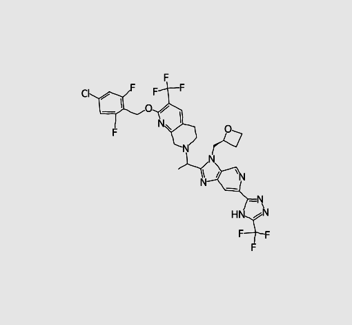 CC(c1nc2cc(-c3nnc(C(F)(F)F)[nH]3)ncc2n1C[C@@H]1CCO1)N1CCc2cc(C(F)(F)F)c(OCc3c(F)cc(Cl)cc3F)nc2C1